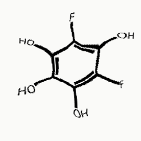 Oc1c(O)c(F)c(O)c(F)c1O